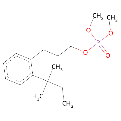 CCC(C)(C)c1ccccc1CCCOP(=O)(OC)OC